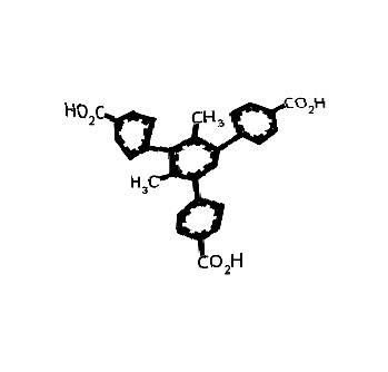 Cc1c(-c2ccc(C(=O)O)cc2)cc(-c2ccc(C(=O)O)cc2)c(C)c1-c1ccc(C(=O)O)cc1